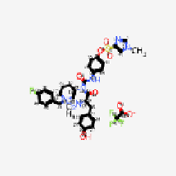 Cn1cnc(S(=O)(=O)Oc2ccc(NC(=O)N(C(=O)[C@@H](N)Cc3ccc(O)cc3)[C@H]3CCC[N+](C)(Cc4ccc(F)cc4)C3)cc2)c1.O=C([O-])C(F)(F)F